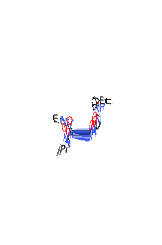 CCNC(=O)C(=O)CC[C@H](NC(=O)c1cn(CC(C)C)cn1)C(=O)Nc1cccn(CC(=O)NC23CC4CC(CC(CC)(C4)C2)C3)c1=O